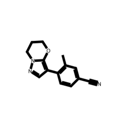 Cc1cc(C#N)ccc1-c1cnn2c1OCCC2